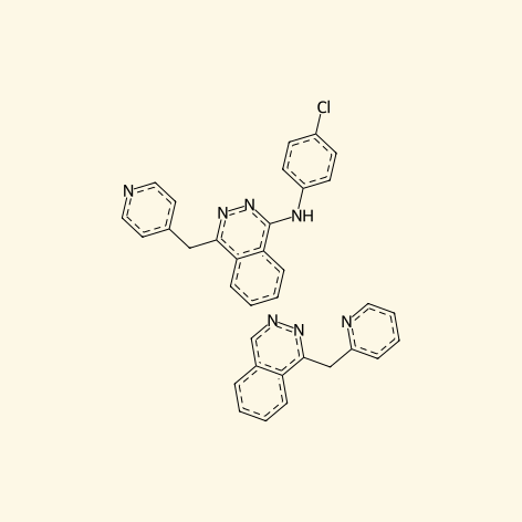 Clc1ccc(Nc2nnc(Cc3ccncc3)c3ccccc23)cc1.c1ccc(Cc2nncc3ccccc23)nc1